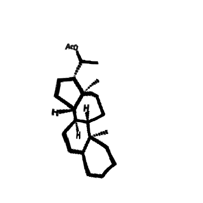 CC(=O)OC(C)[C@H]1CC[C@H]2[C@@H]3CCC4CCCC[C@]4(C)[C@H]3CC[C@]12C